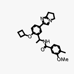 COc1cc(C(=O)NC(C)c2cc(-c3cn4c(n3)CCC4)ccc2OC2CCC2)ccc1C